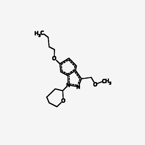 CCCCOc1ccc2c(COC)nn(C3CCCCO3)c2c1